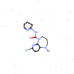 CCN1CCCN(C(=O)Nc2ccccn2)c2nc(Cl)ccc21